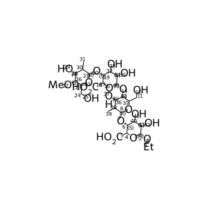 CCO[C@@H]1OC(C(=O)O)[C@@H](O[C@H]2OC(CO)[C@@H](O[C@@H]3OC(C(=O)O)[C@@H](O[C@H]4OC(CO)[C@@H](OC)[C@H](O)C4C)C(O)[C@@H]3O)[C@H](O)C2C)C(O)[C@@H]1O